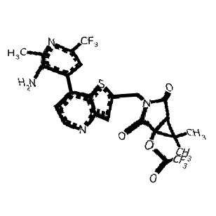 Cc1nc(C(F)(F)F)cc(-c2ccnc3cc(CN4C(=O)C5C(C)(C)C5(OC(=O)C(F)(F)F)C4=O)sc23)c1N